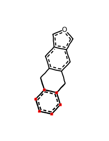 c1ccc2c(c1)C1c3ccccc3C2c2cc3cocc3cc21